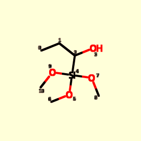 CCC(O)[Si](OC)(OC)OC